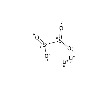 O=S([O-])S(=O)[O-].[Li+].[Li+]